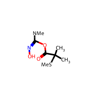 CNC(=NO)OC(=O)C(C)(C)SC